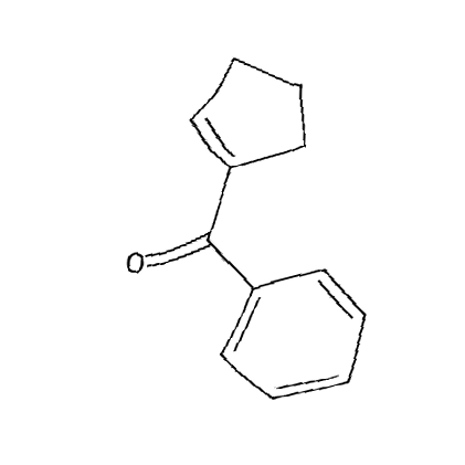 O=C(C1=CCCC1)c1ccccc1